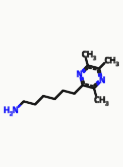 Cc1nc(C)c(CCCCCCN)nc1C